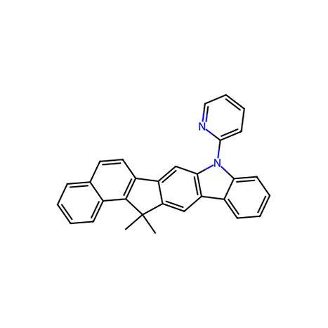 CC1(C)c2cc3c4ccccc4n(-c4ccccn4)c3cc2-c2ccc3ccccc3c21